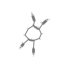 N#C/C1=C(\C#N)CC/C(C#N)=C(/C#N)CC1